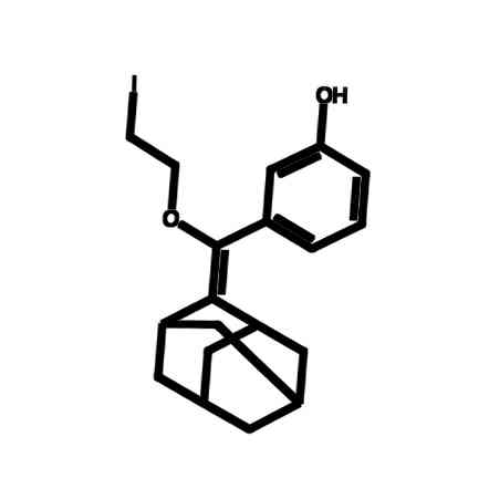 Oc1cccc(C(OCCI)=C2C3CC4CC(C3)CC2C4)c1